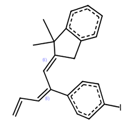 C=C/C=C(\C=C1/Cc2ccccc2C1(C)C)c1ccc(I)cc1